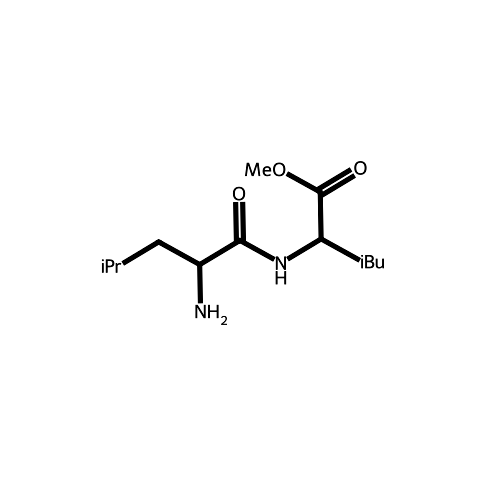 CCC(C)C(NC(=O)C(N)CC(C)C)C(=O)OC